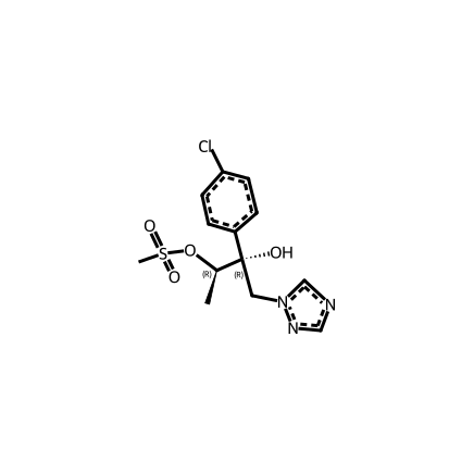 C[C@@H](OS(C)(=O)=O)[C@](O)(Cn1cncn1)c1ccc(Cl)cc1